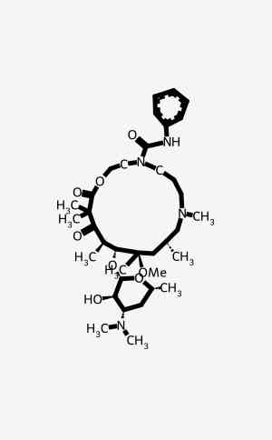 CO[C@]1(C)C[C@@H](C)CN(C)CCCN(C(=O)Nc2ccccc2)CCOC(=O)C(C)(C)C(=O)[C@H](C)[C@H]1O[C@@H]1O[C@H](C)C[C@H](N(C)C)[C@H]1O